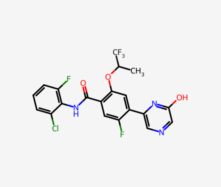 CC(Oc1cc(-c2cncc(O)n2)c(F)cc1C(=O)Nc1c(F)cccc1Cl)C(F)(F)F